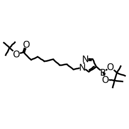 CC(C)(C)OC(=O)CCCCCCCn1cc(B2OC(C)(C)C(C)(C)O2)cn1